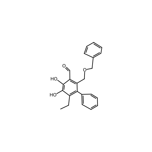 CCc1c(O)c(O)c(C=O)c(COCc2ccccc2)c1-c1ccccc1